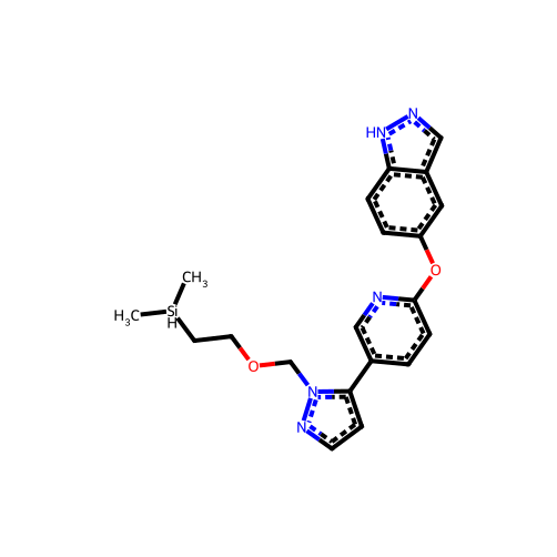 C[SiH](C)CCOCn1nccc1-c1ccc(Oc2ccc3[nH]ncc3c2)nc1